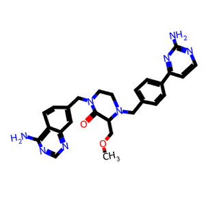 COCC1C(=O)N(Cc2ccc3c(N)ncnc3c2)CCN1Cc1ccc(-c2ccnc(N)n2)cc1